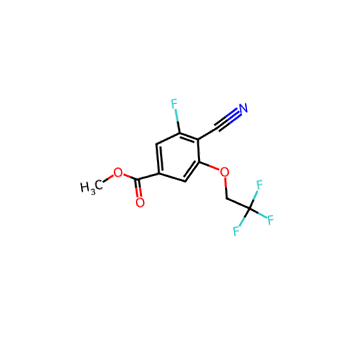 COC(=O)c1cc(F)c(C#N)c(OCC(F)(F)F)c1